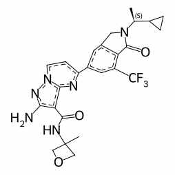 C[C@@H](C1CC1)N1Cc2cc(-c3ccn4nc(N)c(C(=O)NC5(C)COC5)c4n3)cc(C(F)(F)F)c2C1=O